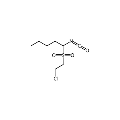 CCCCC(N=C=O)S(=O)(=O)CCCl